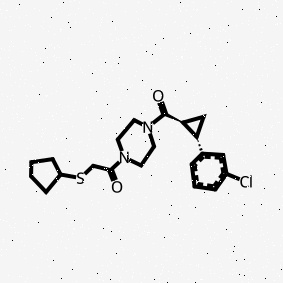 O=C(CSC1CCCC1)N1CCN(C(=O)[C@H]2C[C@@H]2c2cccc(Cl)c2)CC1